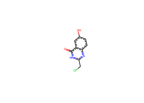 O=c1[nH]c(CCl)nc2ccc(O)cc12